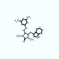 CN1C(=O)N(C)C(Cc2c[nH]c3ccccc23)C1CCc1cc(C(F)(F)F)cc(C(F)(F)F)c1